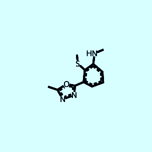 CNc1cccc(-c2nnc(C)o2)c1SC